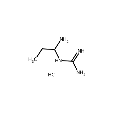 CCC(N)NC(=N)N.Cl